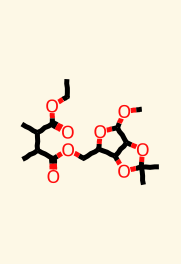 CCOC(=O)C(C)C(C)C(=O)OCC1OC(OC)C2OC(C)(C)OC12